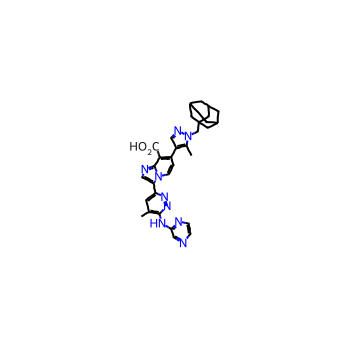 Cc1cc(-c2cnc3c(C(=O)O)c(-c4cnn(CC56CC7CC(CC(C7)C5)C6)c4C)ccn23)nnc1Nc1cnccn1